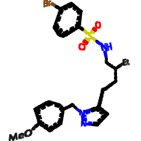 CCC(CCc1ccnn1Cc1ccc(OC)cc1)CNS(=O)(=O)c1ccc(Br)cc1